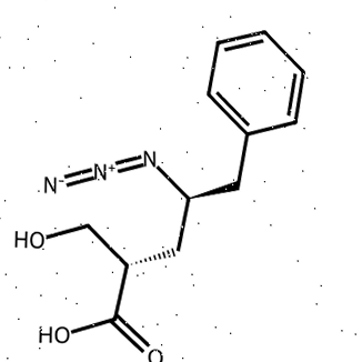 [N-]=[N+]=N[C@@H](Cc1ccccc1)C[C@@H](CO)C(=O)O